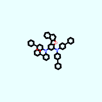 c1ccc(-c2ccc(N(c3cc(N(c4ccc(-c5ccccc5)cc4)c4ccc(-c5ccccc5)cc4)c4oc5ccc6ccccc6c5c4c3)c3ccccc3-c3ccccc3)cc2)cc1